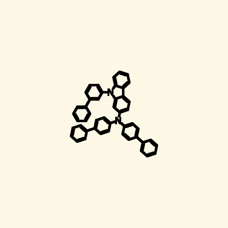 c1ccc(-c2ccc(N(c3ccc(-c4ccccc4)cc3)c3ccc4c5ccccc5n(-c5cccc(-c6ccccc6)c5)c4c3)cc2)cc1